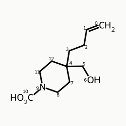 C=CCCC1(CO)CCN(C(=O)O)CC1